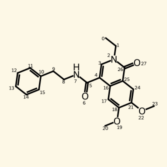 CCn1cc(C(=O)NCCc2ccccc2)c2cc(OC)c(OC)cc2c1=O